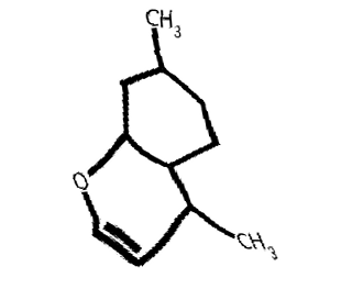 CC1CCC2C(C)C=COC2C1